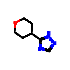 c1n[nH]c(C2CCOCC2)n1